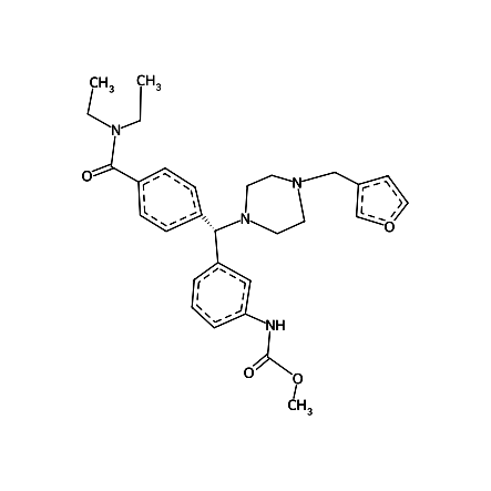 CCN(CC)C(=O)c1ccc([C@@H](c2cccc(NC(=O)OC)c2)N2CCN(Cc3ccoc3)CC2)cc1